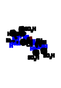 CCNc1nc(Nc2ccccc2)nc(Nc2ccc(-c3c(/N=N/c4cc(S(=O)(=O)O)c5cccc(S(=O)(=O)O)c5c4)sc(N=Nc4c(Nc5ccc(S(=O)(=O)O)cc5)nc(Nc5ccc(S(=O)(=O)O)cc5)c(C#N)c4C)c3C#N)cc2)n1